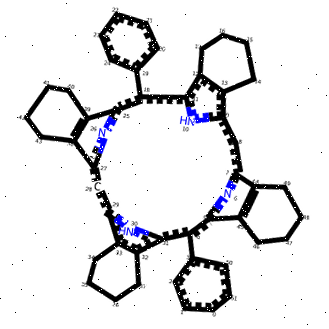 c1ccc(-c2c3nc(cc4[nH]c(c5c4CCCC5)c(-c4ccccc4)c4nc(cc5[nH]c2c2c5CCCC2)C2=C4CCCC2)C2=C3CCCC2)cc1